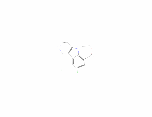 Cl.Clc1cc2c3c(c1)c1c(n3CCOC2)CCNC1